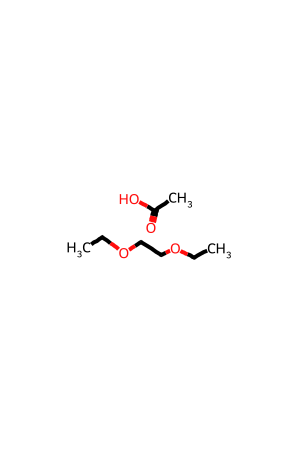 CC(=O)O.CCOCCOCC